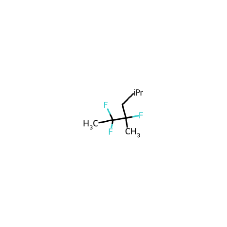 CC(C)CC(C)(F)C(C)(F)F